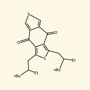 CCCCC(CC)Cc1sc(CC(CC)CCCC)c2c1C(=O)c1cscc1C2=O